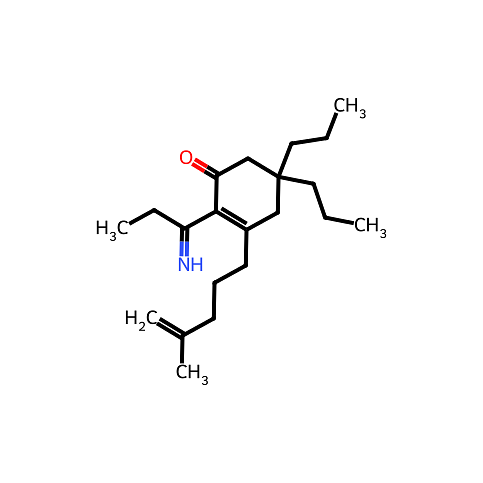 C=C(C)CCCC1=C(C(=N)CC)C(=O)CC(CCC)(CCC)C1